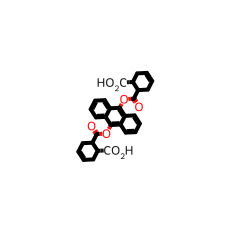 O=C(O)C1CC=CCC1C(=O)Oc1c2ccccc2c(OC(=O)C2CC=CCC2C(=O)O)c2ccccc12